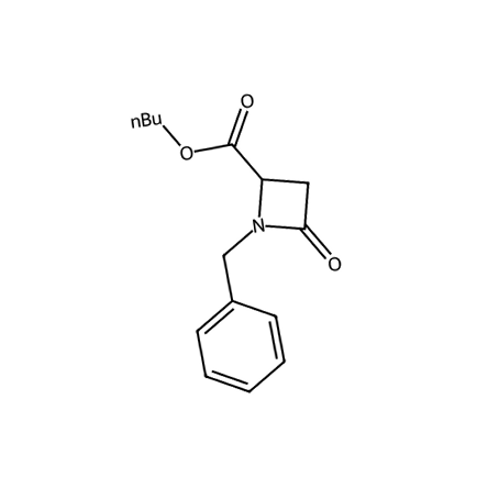 CCCCOC(=O)C1CC(=O)N1Cc1ccccc1